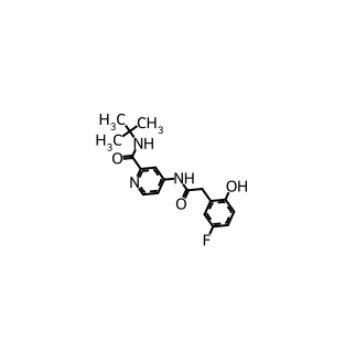 CC(C)(C)NC(=O)c1cc(NC(=O)Cc2cc(F)ccc2O)ccn1